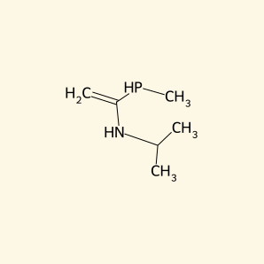 C=C(NC(C)C)PC